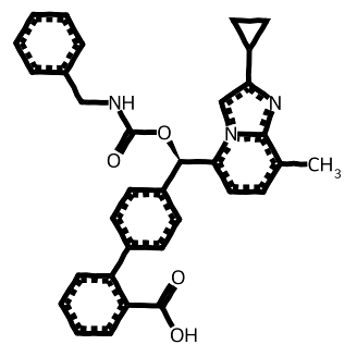 Cc1ccc([C@H](OC(=O)NCc2ccccc2)c2ccc(-c3ccccc3C(=O)O)cc2)n2cc(C3CC3)nc12